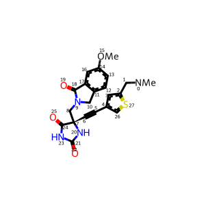 CNCc1cc(C#C[C@@]2(CN3Cc4ccc(OC)cc4C3=O)NC(=O)NC2=O)cs1